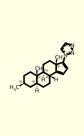 C[C@H]1CC[C@@]2(C)[C@@H](CC[C@H]3C4=CC=C(n5ccnn5)[C@@]4(C)CC[C@@H]32)C1